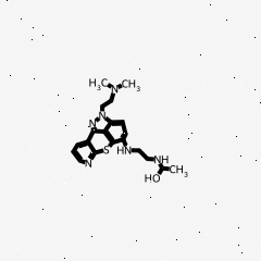 CC(O)NCCNc1ccc2c3c(nn2CCN(C)C)-c2cccnc2Sc13